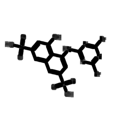 O=S(=O)(O)c1cc(O)c2c(Nc3nc(Br)nc(Br)n3)cc(S(=O)(=O)O)cc2c1